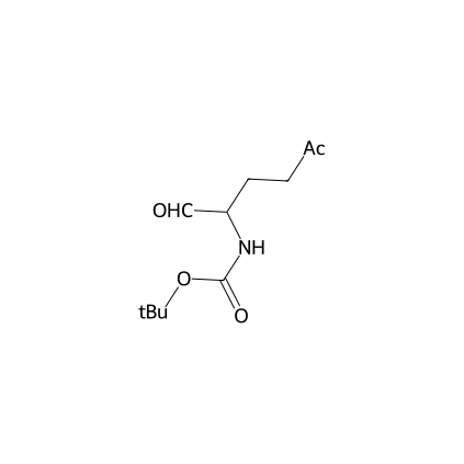 CC(=O)CCC(C=O)NC(=O)OC(C)(C)C